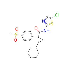 CS(=O)(=O)c1ccc(C2(C(=O)Nc3ncc(Cl)s3)CC2C2CCCCC2)cc1